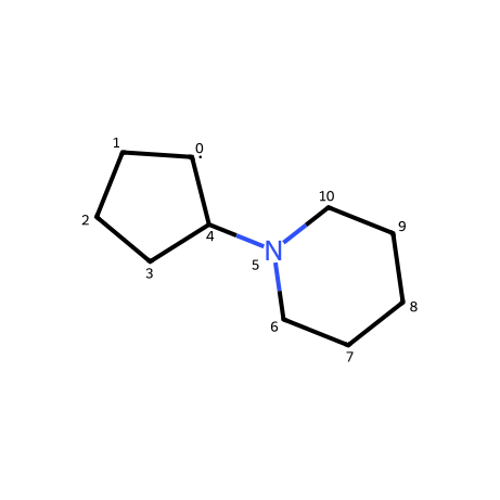 [CH]1CCCC1N1CCCCC1